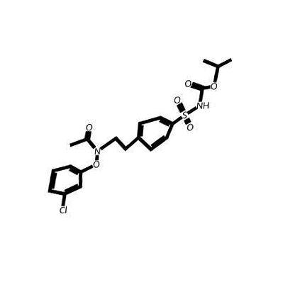 CC(=O)N(CCc1ccc(S(=O)(=O)NC(=O)OC(C)C)cc1)Oc1cccc(Cl)c1